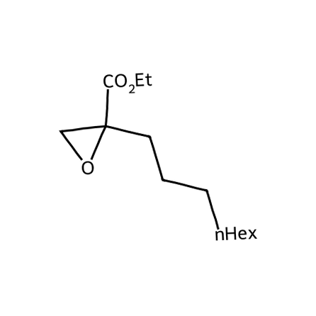 CCCCCCCCCC1(C(=O)OCC)CO1